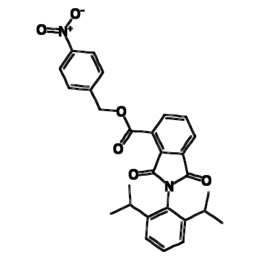 CC(C)c1cccc(C(C)C)c1N1C(=O)c2cccc(C(=O)OCc3ccc([N+](=O)[O-])cc3)c2C1=O